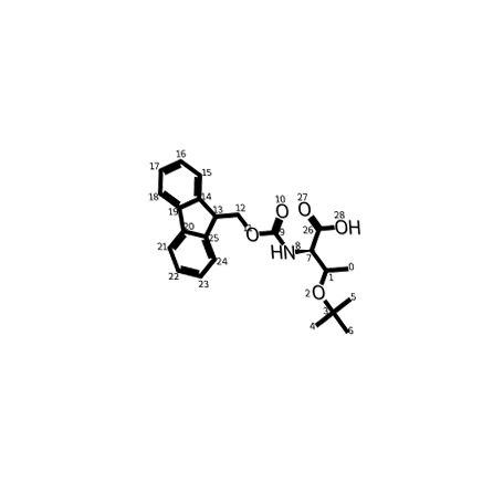 CC(OC(C)(C)C)[C@@H](NC(=O)OCC1c2ccccc2-c2ccccc21)C(=O)O